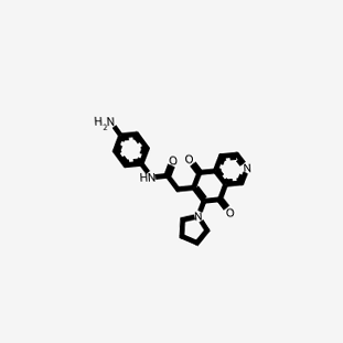 Nc1ccc(NC(=O)CC2=C(N3CCCC3)C(=O)c3cnccc3C2=O)cc1